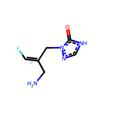 NC/C(=C/F)Cn1nc[nH]c1=O